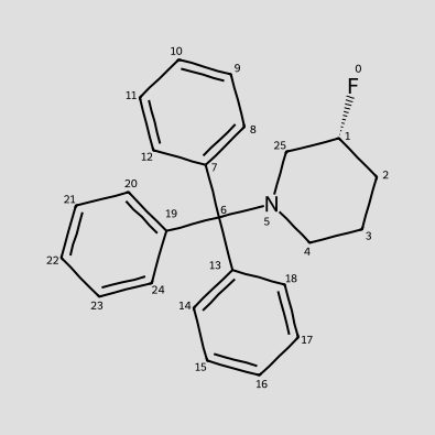 F[C@@H]1CCCN(C(c2ccccc2)(c2ccccc2)c2ccccc2)C1